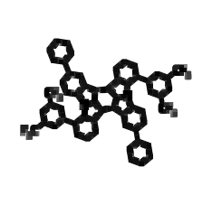 FC(F)(F)c1cc(-c2cccc3c4c5c6cc(-c7ccccc7)ccc6n6c7c(-c8cc(C(F)(F)F)cc(C(F)(F)F)c8)cccc7c(c7c8cc(-c9ccccc9)ccc8n(c23)c74)c56)cc(C(F)(F)F)c1